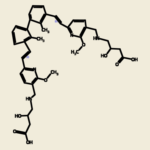 COc1nc(/C=C/c2cccc(-c3cccc(/C=C/c4ccc(CNCC(O)CC(=O)O)c(OC)n4)c3C)c2C)ccc1CNCC(O)CC(=O)O